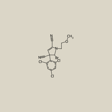 COCCN1C(C#N)=CC(C#N)(c2c(Cl)cc(Cl)cc2Cl)C1Br